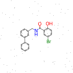 O=C(NCc1cccc(-c2ccccc2)c1)c1cc(Br)ccc1O